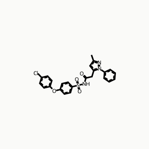 Cc1cc(CC(=O)NS(=O)(=O)c2ccc(Oc3ccc(Cl)cc3)cc2)n(-c2ccccc2)n1